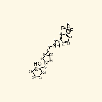 OC1(CN2CC3C(CNCc4cccc(C(F)(F)F)c4)C3C2)CCCCC1